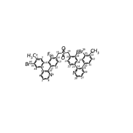 Cc1ccc(-c2cccnc2-c2ccc(CS(=O)(=O)Cc3ccc(-c4ncccc4-c4ccc(C)c(Br)c4)cc3F)c(F)c2)cc1Br